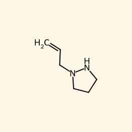 C=CCN1CCCN1